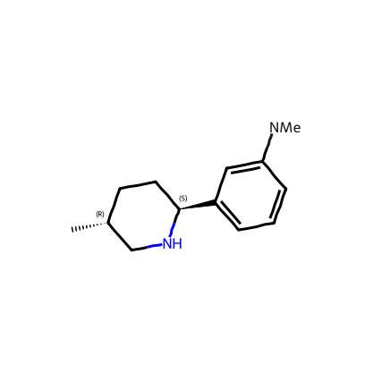 CNc1cccc([C@@H]2CC[C@@H](C)CN2)c1